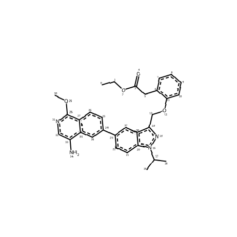 CCOC(=O)Cc1ccccc1OCc1nn(C(C)C)c2ccc(-c3ccc4c(OC)ncc(N)c4c3)cc12